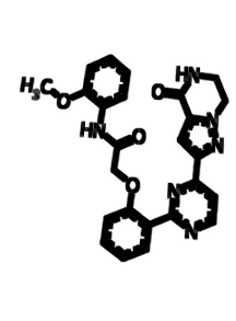 COc1ccccc1NC(=O)COc1ccccc1-c1nccc(-c2cc3n(n2)CCNC3=O)n1